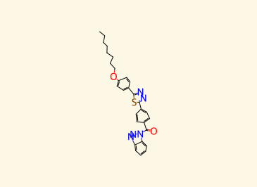 CCCCCCCCOc1ccc(-c2nnc(-c3ccc(C(=O)n4nnc5ccccc54)cc3)s2)cc1